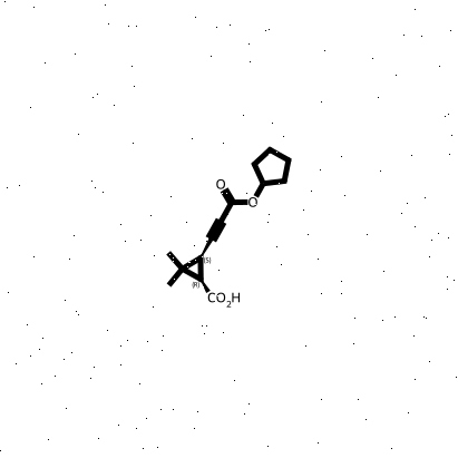 CC1(C)[C@H](C(=O)O)[C@@H]1C#CC(=O)OC1CCCC1